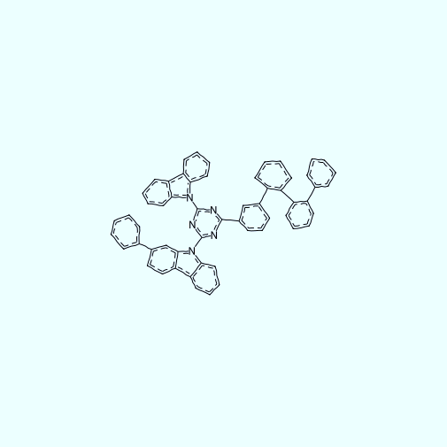 c1ccc(-c2ccc3c4ccccc4n(-c4nc(-c5cccc(-c6ccccc6-c6ccccc6-c6ccccc6)c5)nc(-n5c6ccccc6c6ccccc65)n4)c3c2)cc1